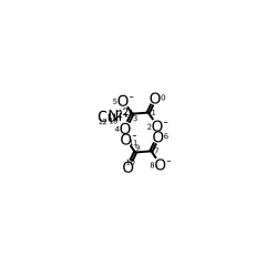 O=C([O-])C(=O)[O-].O=C([O-])C(=O)[O-].[Cu+2].[Ni+2]